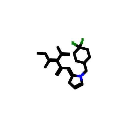 C=C(C)/C(C(=C)/C=C1\CC=CN1CC1CCC(F)(F)CC1)=C(/C)CC